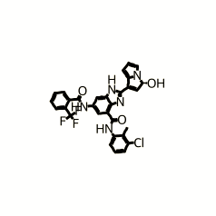 Cc1c(Cl)cccc1NC(=O)c1cc(NC(=O)c2ccccc2C(F)(F)F)cc2[nH]c(C3=C[C@H](O)n4cccc43)nc12